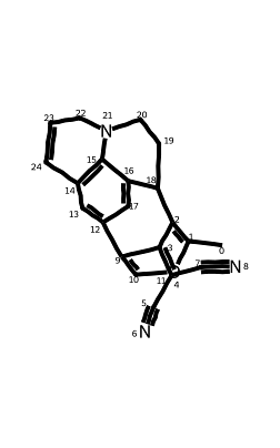 CC1=C2C(=C(C#N)C#N)C(=CO1)c1cc3c4c(c1)C2CCN4CC=C3